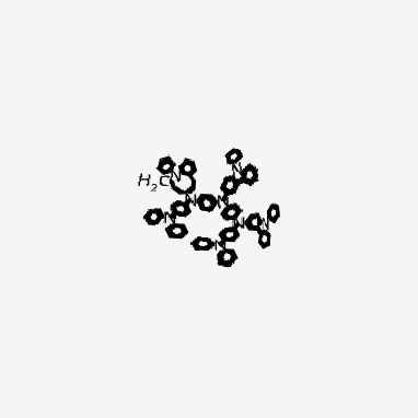 C=C1/C=C\C(N(c2ccc(N(c3ccccc3)c3ccccc3)cc2)c2ccc(N(c3ccc(N(c4ccc(N(c5ccccc5)c5ccccc5)cc4)c4ccc5c(c4)c4ccccc4n5-c4ccccc4)cc3)c3ccc4c(c3)c3ccccc3n4-c3ccccc3)cc2)=C/Cc2ccccc2N1c1ccccc1